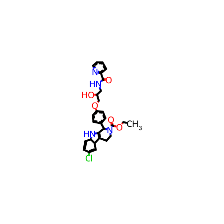 CCOC(=O)N1CCC2=C(NC3C=CC(Cl)=CC23)C1c1ccc(OCC(O)CNC(=O)c2ccccn2)cc1